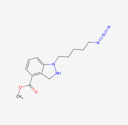 COC(=O)c1cccc2c1CNN2CCCCCN=[N+]=[N-]